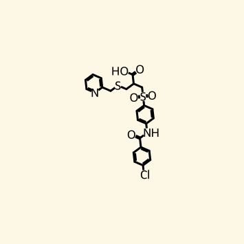 O=C(Nc1ccc(S(=O)(=O)CC(CSCc2ccccn2)C(=O)O)cc1)c1ccc(Cl)cc1